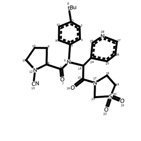 CC(C)(C)c1ccc(N(C(=O)C2CCCN2C#N)C(C(=O)N2CCS(=O)(=O)C2)c2cccnc2)cc1